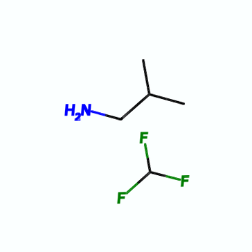 CC(C)CN.FC(F)F